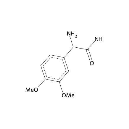 COc1ccc(C(N)C([NH])=O)cc1OC